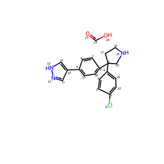 Clc1ccc(C2(c3ccc(-c4cn[nH]c4)cc3)CCNC2)cc1.O=CO